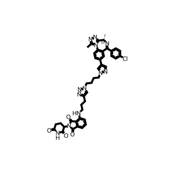 Cc1nnc2n1-c1ccc(-c3cnn(CCCCn4cc(CCCNc5cccc6c5C(=O)N(C5CCC(=O)NC5=O)C6=O)nn4)c3)cc1C(c1ccc(Cl)cc1)=N[C@H]2C